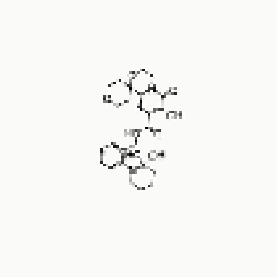 O=C(NCc1ccccc1N1CCCCS1(O)O)c1nc2n(c(=O)c1O)CCOC21CCOCC1